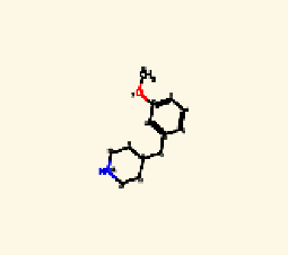 COc1cccc(CC2CCNCC2)c1